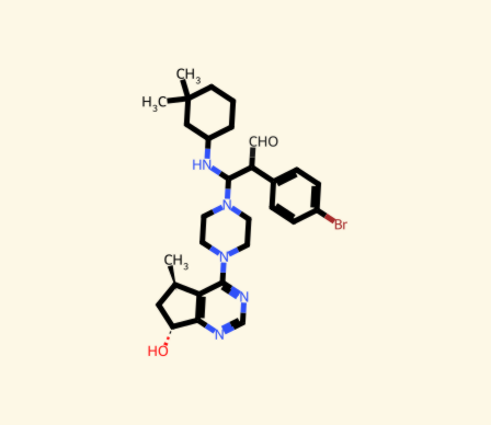 C[C@@H]1C[C@@H](O)c2ncnc(N3CCN(C(NC4CCCC(C)(C)C4)C(C=O)c4ccc(Br)cc4)CC3)c21